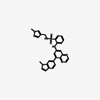 Cn1cc(CNS(=O)(=O)c2ccccc2Nc2cc(-c3ccc4ccn(C)c4c3)c3nccnc3c2)cn1